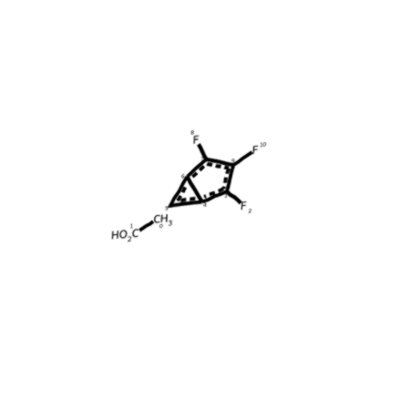 CC(=O)O.Fc1c2cc-2c(F)c1F